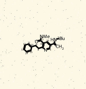 C=C(NC(C)CC)c1cnc(CCc2ccccc2)c(C(=O)NC)c1